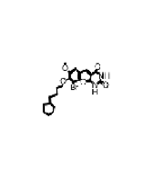 COc1cc(C=C2C(=O)NC(=O)NC2=O)cc(Br)c1OCCCCC1CCCCC1